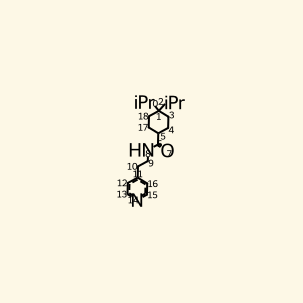 CC(C)C1(C(C)C)CCC(C(=O)NCCc2ccncc2)CC1